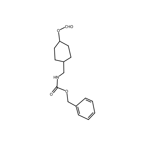 O=COC1CCC(CNC(=O)OCc2ccccc2)CC1